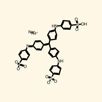 O=S(=O)([O-])c1ccc(N=C2C=CC(=C(c3ccc(Nc4ccc(S(=O)(=O)[O-])cc4)cc3)c3ccc(Nc4ccc(S(=O)(=O)O)cc4)cc3)C=C2)cc1.[Na+].[Na+]